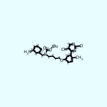 Cc1ccc(OCCCCN(Cc2cccc(N)c2)C(=O)OC(C)(C)C)cc1-c1nc(Cl)ncc1Cl